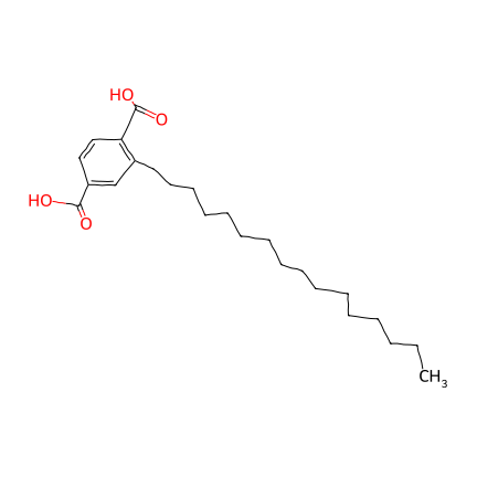 CCCCCCCCCCCCCCCCc1cc(C(=O)O)ccc1C(=O)O